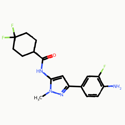 Cn1nc(-c2ccc(N)c(F)c2)cc1NC(=O)C1CCC(F)(F)CC1